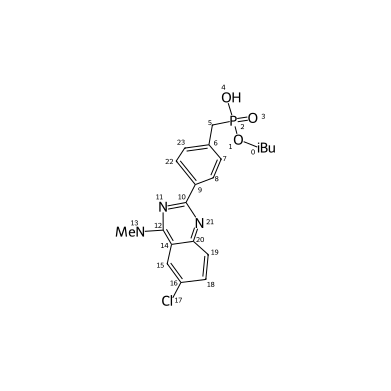 CCC(C)OP(=O)(O)Cc1ccc(-c2nc(NC)c3cc(Cl)ccc3n2)cc1